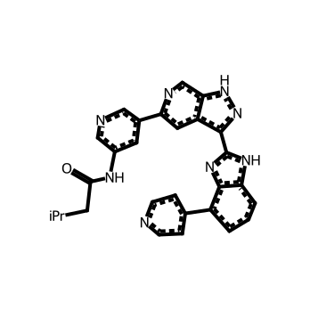 CC(C)CC(=O)Nc1cncc(-c2cc3c(-c4nc5c(-c6ccncc6)cccc5[nH]4)n[nH]c3cn2)c1